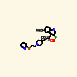 COc1ccc2ncc(F)c([C@H](O)CCC3(C(=O)O)CCN(CCSc4ccccn4)CC3)c2c1